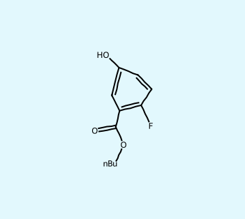 CCCCOC(=O)c1cc(O)ccc1F